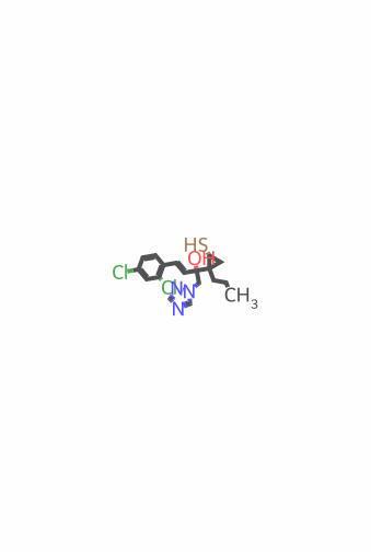 CCCC1(C(O)(/C=C/c2ccc(Cl)cc2Cl)Cn2cncn2)CC1S